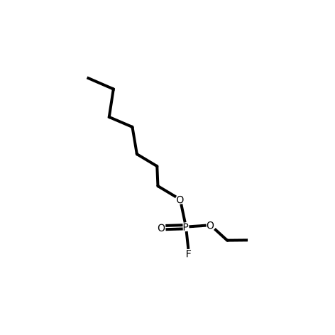 CCCCCCCOP(=O)(F)OCC